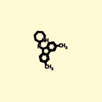 Cc1ccc2c(c1)-c1cc(C)ccc1C2N=C1CCCCCN1